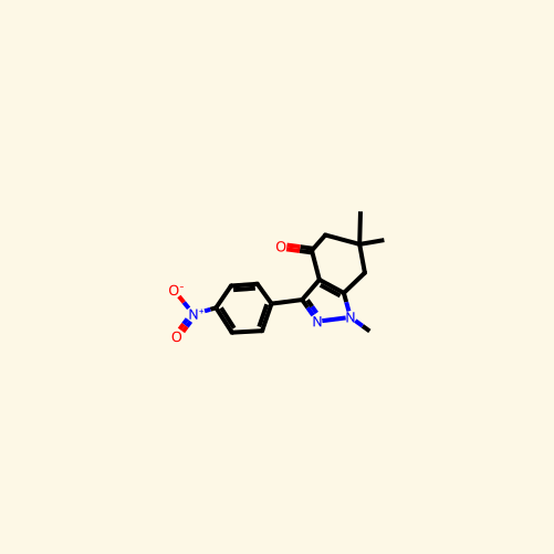 Cn1nc(-c2ccc([N+](=O)[O-])cc2)c2c1CC(C)(C)CC2=O